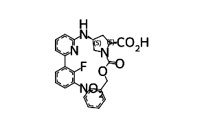 O=C(O)[C@@H]1C[C@H](Nc2cccc(-c3cccc([N+](=O)[O-])c3F)n2)CN1C(=O)OCc1ccccc1